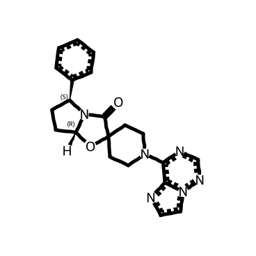 O=C1N2[C@@H](CC[C@H]2c2ccccc2)OC12CCN(c1ncnn3ccnc13)CC2